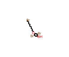 Oc1cc(Br)c(OCCCCCCCCCCBr)cc1Br